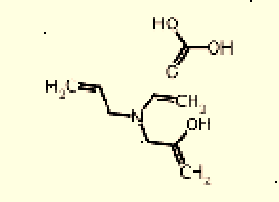 C=CCN(C=C)CC(=C)O.O=C(O)O